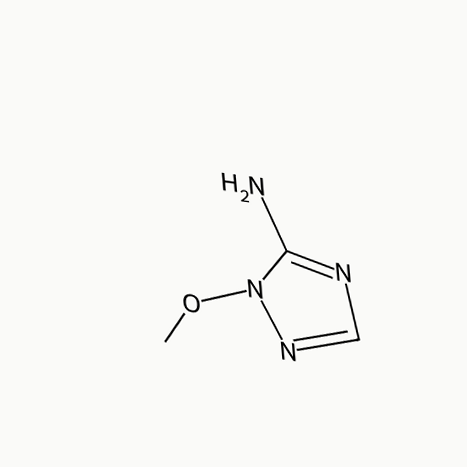 COn1ncnc1N